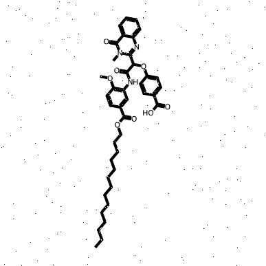 CCCCCCCCCCCCCCOC(=O)c1ccc(OC)c(NC(=O)C(Oc2ccc(C(=O)O)cc2)c2nc3ccccc3c(=O)n2C)c1